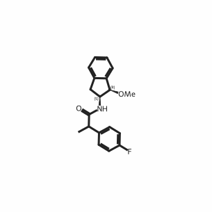 CO[C@@H]1c2ccccc2C[C@@H]1NC(=O)C(C)c1ccc(F)cc1